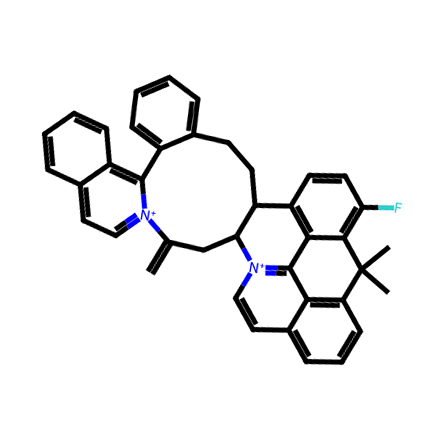 C=C1CC2C(CCc3ccccc3-c3c4ccccc4cc[n+]31)c1ccc(F)c3c1-c1c4c(cccc4cc[n+]12)C3(C)C